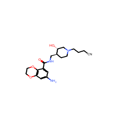 N#CCCCN1CC[C@@H](CNC(=O)c2cc(N)cc3c2OCCO3)[C@H](O)C1